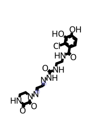 O=C(NCCNC(=O)c1ccc(O)c(O)c1Cl)N/N=C/C=N/N1CCNC(=O)C1=O